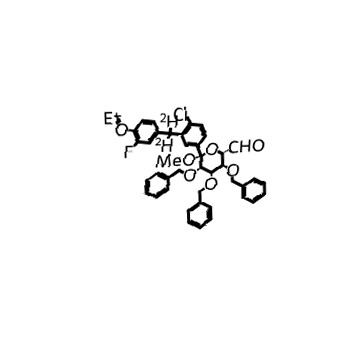 [2H]C([2H])(c1ccc(OCC)c(F)c1)c1cc([C@]2(OC)O[C@H](C=O)[C@@H](OCc3ccccc3)[C@H](OCc3ccccc3)[C@H]2OCc2ccccc2)ccc1Cl